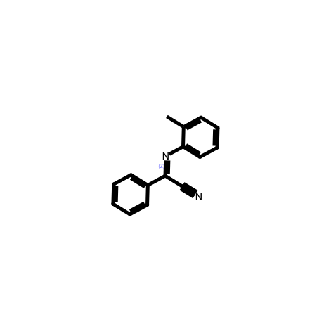 Cc1ccccc1/N=C(\C#N)c1ccccc1